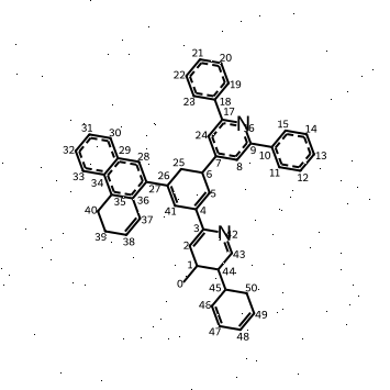 CC1C=C(C2=CC(c3cc(-c4ccccc4)nc(-c4ccccc4)c3)CC(c3cc4ccccc4c4c3C=CCC4)=C2)N=CC1C1C=CC=CC1